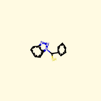 SC(c1ccccc1)n1nnc2ccccc21